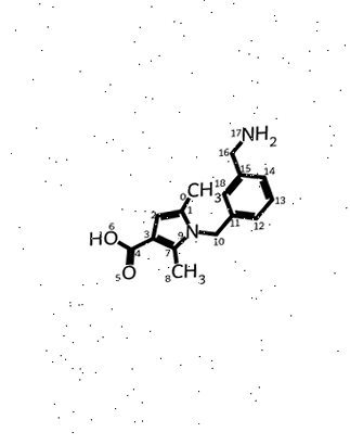 Cc1cc(C(=O)O)c(C)n1Cc1cccc(CN)c1